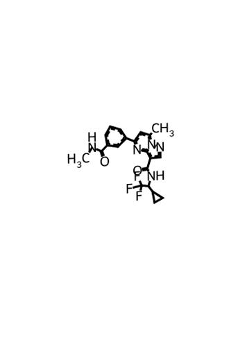 CNC(=O)c1cccc(-c2cc(C)n3ncc(C(=O)NC(C4CC4)C(F)(F)F)c3n2)c1